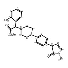 COC(=O)C(c1ccccc1Cl)N1CCN(c2ccc(-n3cnn(C(C)C)c3=O)cc2)CC1